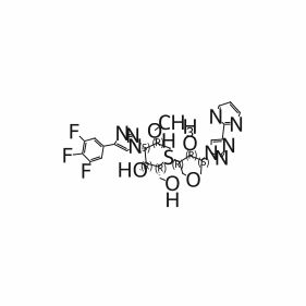 CO[C@H]1C[SH]([C@@H]2COC[C@H](n3cc(-c4ncccn4)nn3)[C@H]2O)[C@H](CO)[C@H](O)[C@@H]1n1cc(-c2cc(F)c(F)c(F)c2)nn1